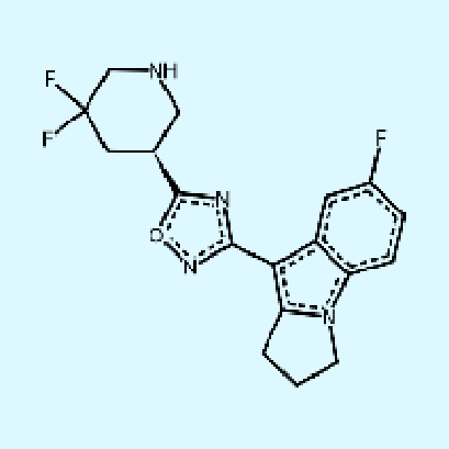 Fc1ccc2c(c1)c(-c1noc([C@@H]3CNCC(F)(F)C3)n1)c1n2CCC1